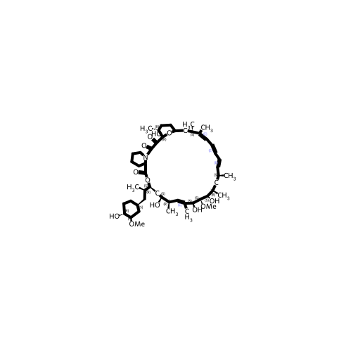 CO[C@H]1[C@@H](O)[C@H](C)C[C@H](C)/C=C/C=C/C=C(\C)[C@@H](C)CC2CC[C@@H](C)[C@@](O)(O2)C(=O)C(=O)N2CCCCC2C(=O)O[C@H]([C@H](C)C[C@@H]2CC[C@@H](O)[C@H](OC)C2)C[C@H](O)[C@H](C)/C=C(\C)[C@@H]1O